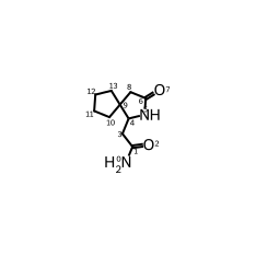 NC(=O)CC1NC(=O)CC12CCCC2